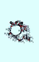 CC(=O)N[C@@H](CC(C)C)C(=O)N[C@H](C(=O)N[C@@H](Cc1ccccc1)C(=O)N[C@]1(C)CCCCCC/C=C/CCC[C@@](C)(C(=O)CN[C@@H](C)C(=O)CCC(=O)[C@H](C)NCCN[C@@H](C)C(=O)CCN[C@@H](C)C(=O)CCC(=O)[C@H](C)NCN(C)CC(N)=O)NC(=O)[C@H](CC(C)C)NN[C@@H](CCC(N)=O)C(=O)CC(=O)[C@H](C)NCC(=O)[C@H](Cc2c[nH]c3ccccc23)NC(=O)[C@H](Cc2ccc(O)cc2)NN[C@@H](CCC(=O)O)C(=O)C1=O)[C@@H](C)O